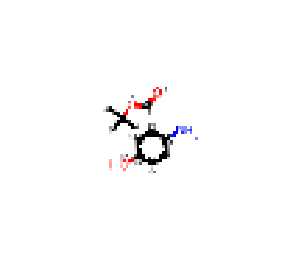 CC(C)(C)OC=O.Nc1ccc(O)cc1